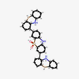 O=S1(=O)c2cc(-c3cccc4c3Nc3ccccc3S4)ccc2Nc2ccc(-c3cccc4c3Nc3ccccc3S4)cc21